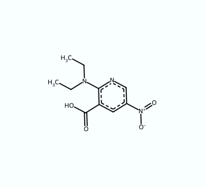 CCN(CC)c1ncc([N+](=O)[O-])cc1C(=O)O